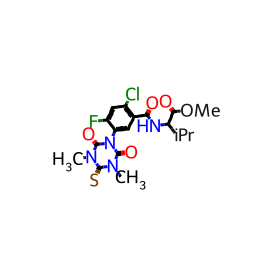 COC(=O)C(NC(=O)c1cc(-n2c(=O)n(C)c(=S)n(C)c2=O)c(F)cc1Cl)C(C)C